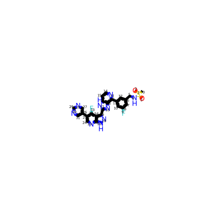 CS(=O)(=O)NCc1cc(F)cc(-c2nccc3[nH]c(-c4n[nH]c5ncc(-c6cncnc6)c(F)c45)nc23)c1